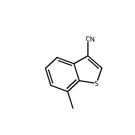 Cc1cccc2c(C#N)csc12